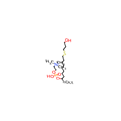 CCCCCCCCC(CCCCCCCCSCCCO)OP(=O)(O)OCC[N+](C)(C)C